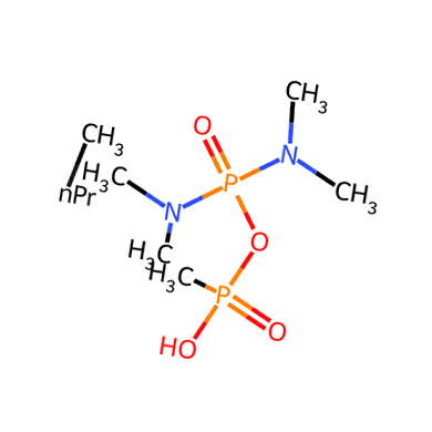 CCCC.CN(C)P(=O)(OP(C)(=O)O)N(C)C